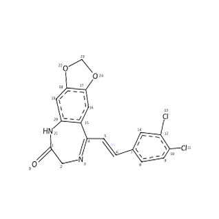 O=C1CN=C(/C=C/c2ccc(Cl)c(Cl)c2)c2cc3c(cc2N1)OCO3